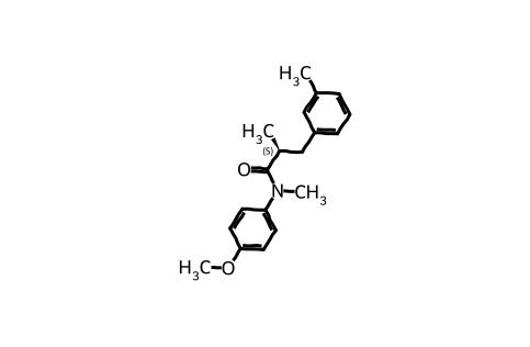 COc1ccc(N(C)C(=O)[C@@H](C)Cc2cccc(C)c2)cc1